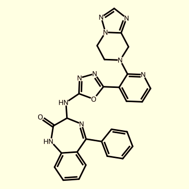 O=C1Nc2ccccc2C(c2ccccc2)=NC1Nc1nnc(-c2cccnc2N2CCn3ncnc3C2)o1